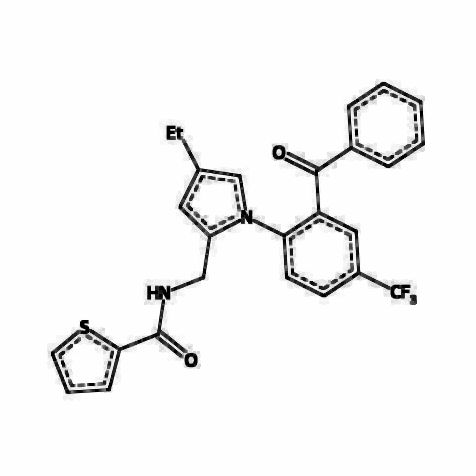 CCc1cc(CNC(=O)c2cccs2)n(-c2ccc(C(F)(F)F)cc2C(=O)c2ccccc2)c1